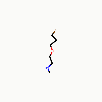 CNCCOCCC[S]